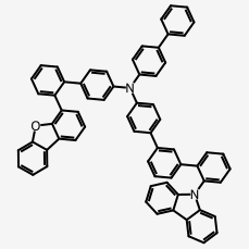 c1ccc(-c2ccc(N(c3ccc(-c4cccc(-c5ccccc5-n5c6ccccc6c6ccccc65)c4)cc3)c3ccc(-c4ccccc4-c4cccc5c4oc4ccccc45)cc3)cc2)cc1